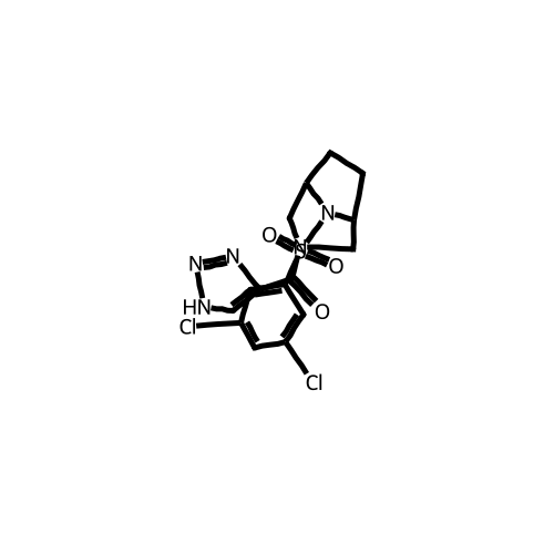 O=C(c1c[nH]nn1)N1CC2CCC(C1)N2S(=O)(=O)c1cc(Cl)cc(Cl)c1